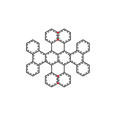 c1ccc(-c2c3c(-c4ccccc4)c4c5ccccc5c5ccccc5c4c(-c4ccccc4)c3c(-c3ccccc3)c3c4ccccc4c4ccccc4c23)cc1